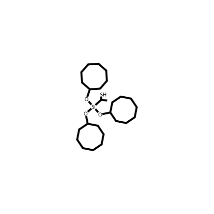 CC(S)[Si](OC1CCCCCCC1)(OC1CCCCCCC1)OC1CCCCCCC1